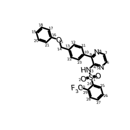 O=S(=O)(Nc1nccnc1-c1ccc(COc2ccccc2)cc1)c1ccccc1C(F)(F)F